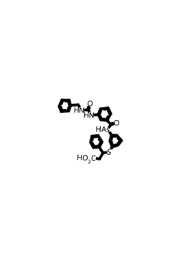 O=C(O)CC(Sc1cccc([AsH]C(=O)c2cccc(NC(=O)NCc3ccccc3)c2)c1)c1ccccc1